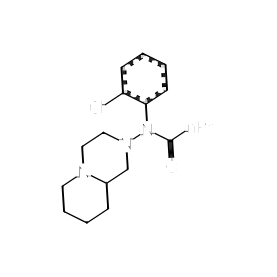 CCCC(=O)N(c1ccccc1Cl)N1CCN2CCCCC2C1